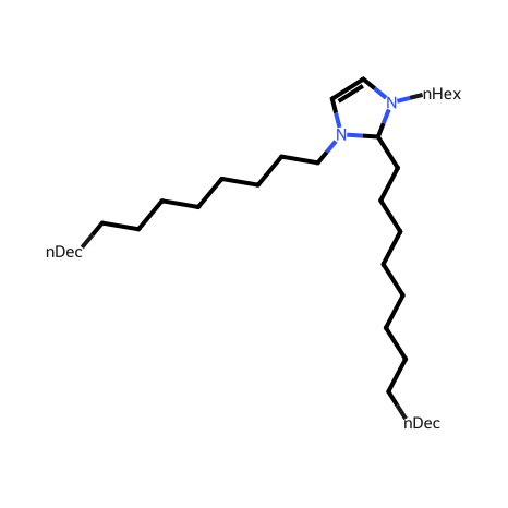 CCCCCCCCCCCCCCCCCCC1N(CCCCCC)C=CN1CCCCCCCCCCCCCCCCCC